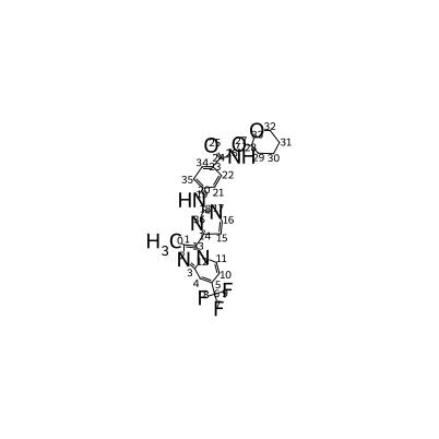 Cc1nc2cc(C(F)(F)F)ccn2c1-c1ccnc(Nc2ccc(C(=O)NOC3CCCCO3)cc2)n1